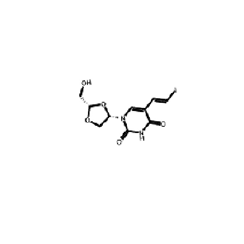 O=c1[nH]c(=O)n([C@@H]2CO[C@H](CO)O2)cc1/C=C/I